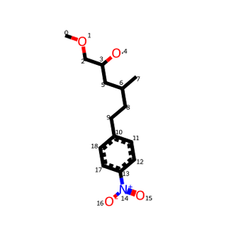 COCC([O])CC(C)CCc1ccc([N+](=O)[O-])cc1